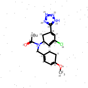 CCCCC(=O)N(CC1=CC=C(OC(F)(F)F)CC1)C1C=C(Cl)C=C(c2nnn[nH]2)C1